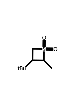 CC1C(C(C)(C)C)CS1(=O)=O